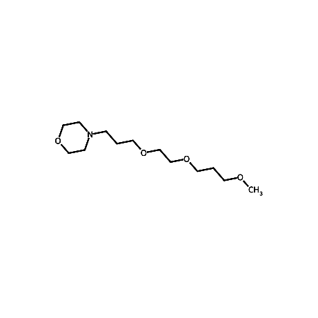 COCCCOCCOCCCN1CCOCC1